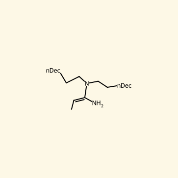 CC=C(N)N(CCCCCCCCCCCC)CCCCCCCCCCCC